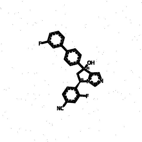 N#Cc1ccc([C@H]2C[C@](O)(c3ccc(-c4cccc(F)c4)cc3)c3cncn32)c(F)c1